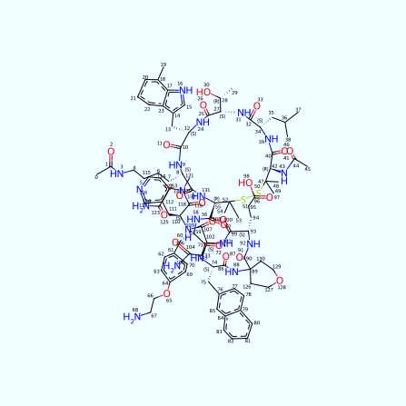 CC(=O)NCCCC[C@@H]1NC(=O)[C@H](Cc2c[nH]c3c(C)cccc23)NC(=O)[C@H]([C@@H](C)O)NC(=O)[C@H](CC(C)C)NC(=O)[C@@H](NC(C)=O)C(C)(C)SSC(C)(C)[C@@H](C(=O)N[C@@H](Cc2ccc(OCCN)cc2)C(=O)N[C@@H](Cc2ccc3ccccc3c2)C(=O)NC2(C(=O)N[C@@H](CCC(=O)O)C(=O)N[C@@H](CC(N)=O)C(=O)N[C@@H](Cc3cccnc3)C(=O)N(C)CC(N)=O)CCOCC2)NC1=O